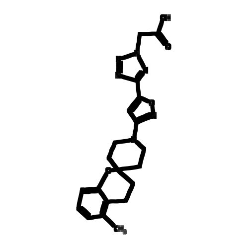 Cc1cccc2c1CCC1(CCN(c3cc(-c4nnn(CC(=O)O)n4)on3)CC1)O2